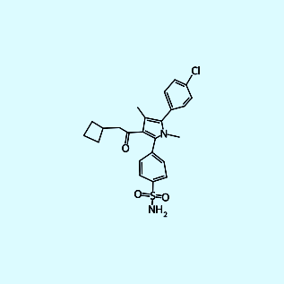 Cc1c(C(=O)CC2CCC2)c(-c2ccc(S(N)(=O)=O)cc2)n(C)c1-c1ccc(Cl)cc1